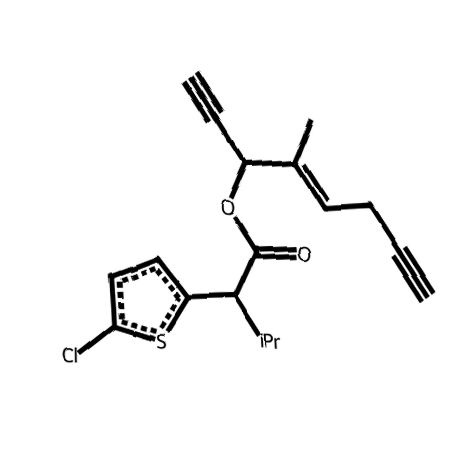 C#CCC=C(C)C(C#C)OC(=O)C(c1ccc(Cl)s1)C(C)C